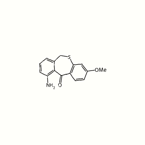 COc1ccc2c(c1)SCc1cccc(N)c1C2=O